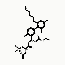 C=CCCCCc1cc(C)cc(C)c1-c1ccc(F)c([C@H](CC(=O)OCC)NC(=O)[C@@H](CC=C)OS(C)(=O)=O)c1